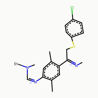 CCN(C)/C=N\c1cc(C)c(/C(CSc2ccc(Cl)cc2)=N/C)cc1C